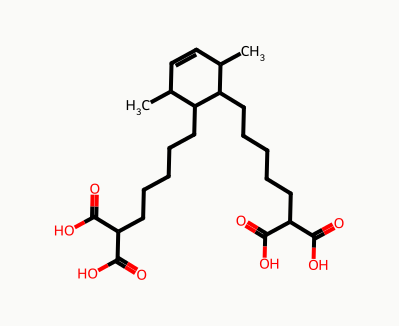 CC1C=CC(C)C(CCCCCC(C(=O)O)C(=O)O)C1CCCCCC(C(=O)O)C(=O)O